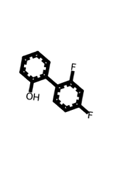 Oc1ccccc1-c1ccc(F)cc1F